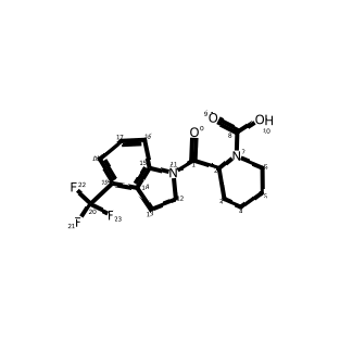 O=C(C1CCCCN1C(=O)O)N1CCc2c1cccc2C(F)(F)F